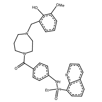 CC[SH](=O)(Nc1ccc(C(=O)N2CCCN(Cc3cccc(OC)c3O)CC2)cc1)c1cccc2cccnc12